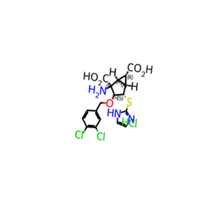 Cl.N[C@]1(C(=O)O)[C@@H]2[C@@H](C(=O)O)[C@@H]2[C@H](Sc2ncc[nH]2)[C@H]1OCc1ccc(Cl)c(Cl)c1